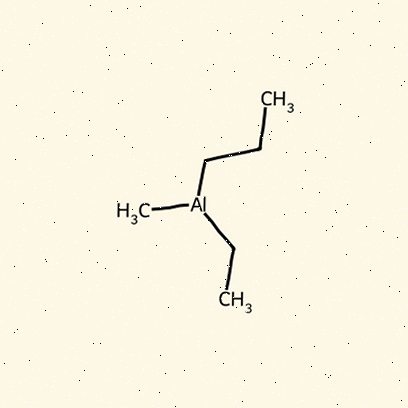 CC[CH2][Al]([CH3])[CH2]C